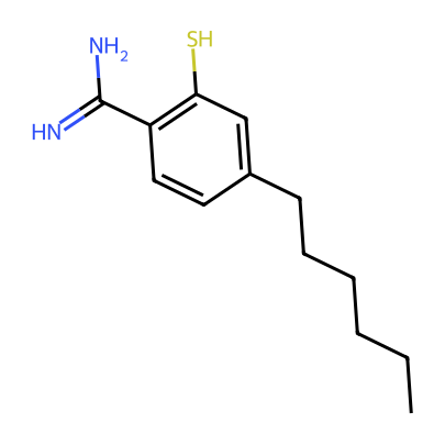 CCCCCCc1ccc(C(=N)N)c(S)c1